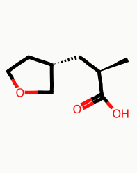 C[C@H](C[C@H]1CCOC1)C(=O)O